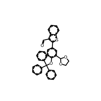 O=Cc1c(-c2ccc(OC(c3ccccc3)(c3ccccc3)c3ccccc3)c(C3OCCO3)c2)sc2ccccc12